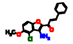 COc1ccc2oc(C(=O)/C=C/c3ccccc3)c(N)c2c1Cl